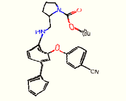 CC(C)(C)OC(=O)N1CCCC1CNc1ccc(-c2ccccc2)cc1Oc1ccc(C#N)cc1